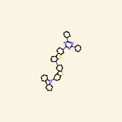 c1ccc(-c2nc(-c3ccccc3)nc(-c3ccc4c(c3)sc3c(-c5ccc6sc7ccc(-n8c9ccccc9c9ccccc98)cc7c6c5)cccc34)n2)cc1